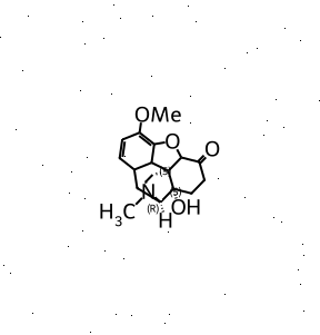 COC1=C2OC3C(=O)CC[C@@]4(O)[C@H]5CC(C=C1)C2[C@@]34CCN5C